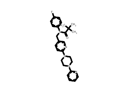 CC(C)(C)C(=O)N(Cc1ccc(N2CCN(c3ccccn3)CC2)nc1)c1ccc(F)cc1